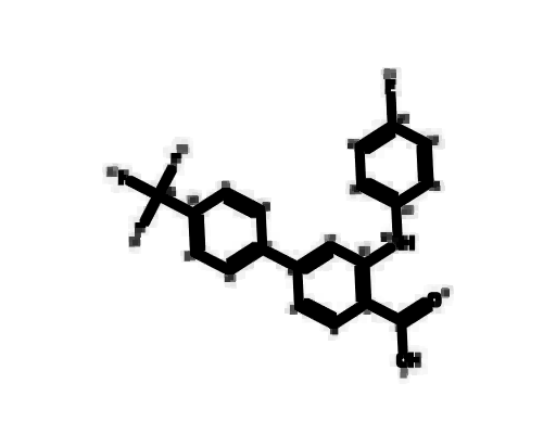 O=C(O)c1ccc(-c2ccc(C(F)(F)F)cc2)cc1Nc1ccc(F)cc1